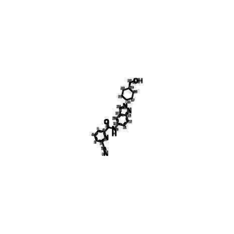 N#Cc1cccc(C(=O)Nc2ccc3nn([C@H]4CC[C@H](CO)CC4)cc3c2)n1